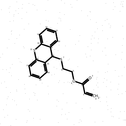 C=CC(=O)OCCSC1c2ccccc2Sc2ccccc21